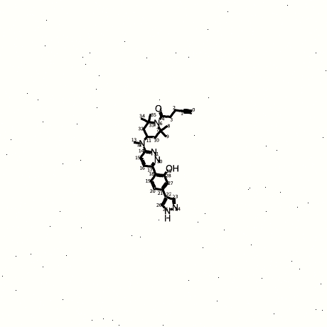 C#CCCC(=O)N1C(C)(C)CC(N(C)c2ccc(-c3ccc(-c4cn[nH]c4)cc3O)nn2)CC1(C)C